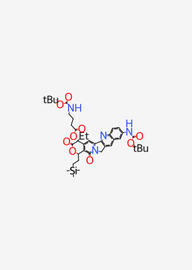 CCC1(OC(=O)CCCNC(=O)OC(C)(C)C)C(=O)OC(CC[Si](C)(C)C)c2c1cc1n(c2=O)Cc2cc3cc(NC(=O)OC(C)(C)C)ccc3nc2-1